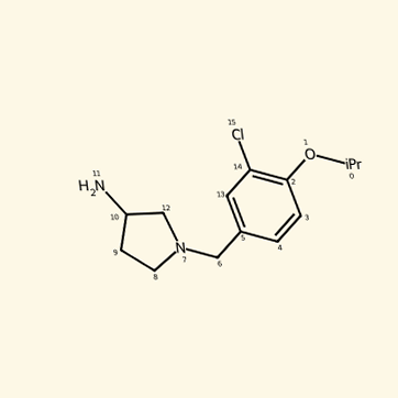 CC(C)Oc1ccc(CN2CCC(N)C2)cc1Cl